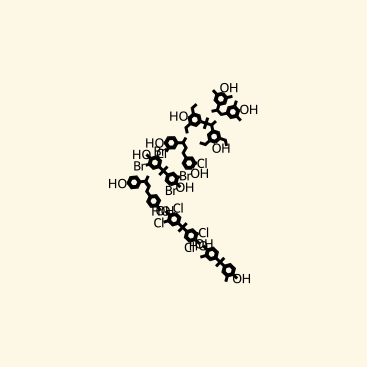 CC(=CCc1ccc(O)cc1)c1ccc(O)cc1.CC(C)(c1cc(Br)c(O)c(Br)c1)c1cc(Br)c(O)c(Br)c1.CC(C)(c1cc(Cl)c(O)c(Cl)c1)c1cc(Cl)c(O)c(Cl)c1.CC(CCc1ccc(O)c(Cl)c1)c1ccc(O)c(Cl)c1.CCc1cc(C(C)C(C)(C)c2cc(CC)c(O)c(CC)c2)cc(CC)c1O.Cc1cc(C(C)(C)c2ccc(O)c(C)c2)ccc1O.Cc1cc(CC(C)c2cc(C)c(O)c(C)c2)cc(C)c1O